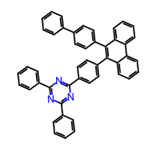 c1ccc(-c2ccc(-c3c(-c4ccc(-c5nc(-c6ccccc6)nc(-c6ccccc6)n5)cc4)c4ccccc4c4ccccc34)cc2)cc1